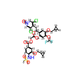 CS(=O)(=O)Nc1ccc(C(=O)OCC(=O)O[C@@H](Cc2c(Cl)c[n+]([O-])cc2Cl)c2ccc(OC(F)F)c(OCC3CC3)c2)cc1OCC1CC1